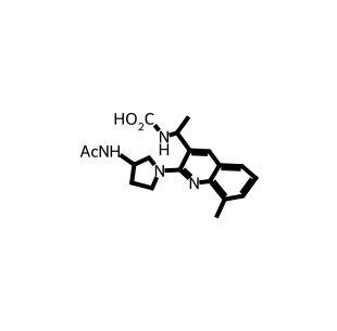 CC(=O)NC1CCN(c2nc3c(C)cccc3cc2C(C)NC(=O)O)C1